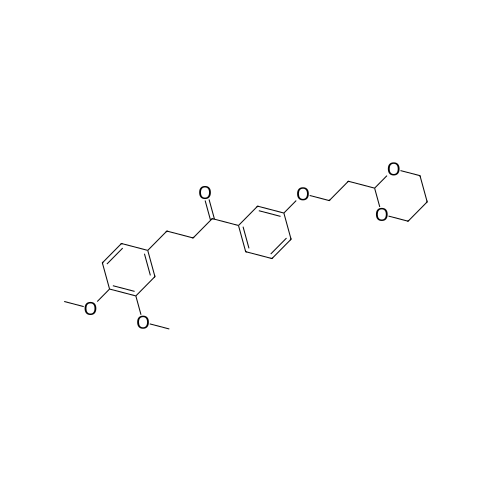 COc1ccc(CCC(=O)c2cccc(OCCC3OCCCO3)c2)cc1OC